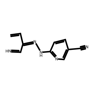 C=C/C(C=N)=N/Nc1ccc(C#N)cn1